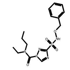 CCCN(CC)C(=O)n1cnc(S(=O)(=O)NOCc2ccccc2)n1